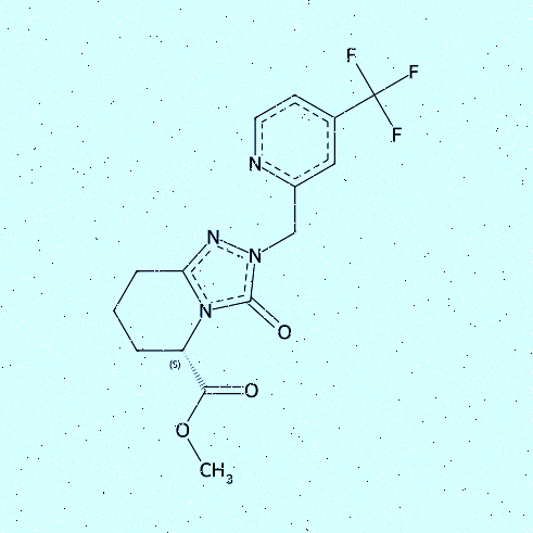 COC(=O)[C@@H]1CCCc2nn(Cc3cc(C(F)(F)F)ccn3)c(=O)n21